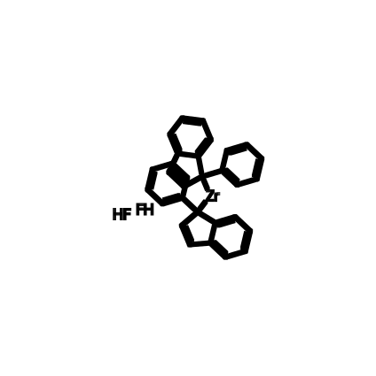 C1=C[C]([Zr][C]2(c3ccccc3)C=Cc3ccccc32)(c2ccccc2)c2ccccc21.F.F